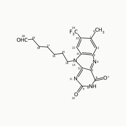 Cc1cc2nc3c(=O)[nH]c(=O)nc-3n(CCCCCCC=O)c2cc1C(F)(F)F